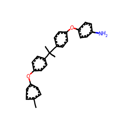 Cc1ccc(Oc2ccc(C(C)(C)c3ccc(Oc4ccc(N)cc4)cc3)cc2)cc1